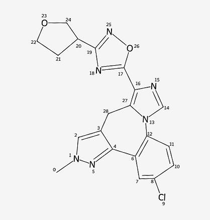 Cn1cc2c(n1)-c1cc(Cl)ccc1-n1cnc(-c3nc(C4CCOC4)no3)c1C2